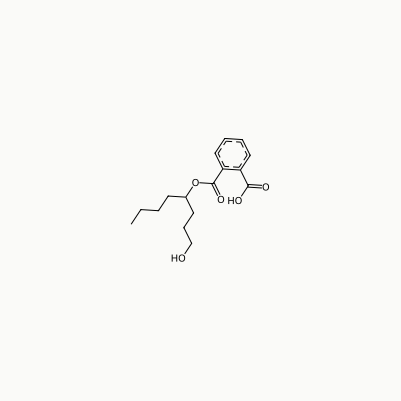 CCCCC(CCCO)OC(=O)c1ccccc1C(=O)O